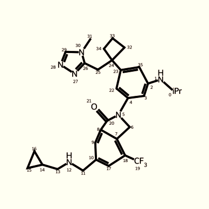 CC(C)Nc1cc(N2Cc3c(cc(CNCC4CC4)cc3C(F)(F)F)C2=O)cc(C2(Cc3nncn3C)CCC2)c1